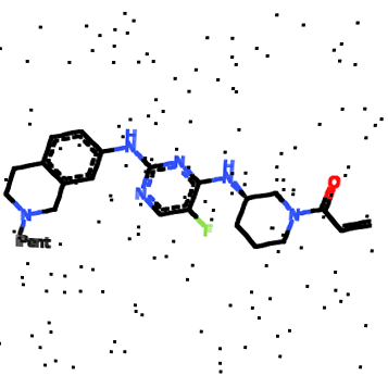 C=CC(=O)N1CCC[C@@H](Nc2nc(Nc3ccc4c(c3)CN(C(C)CCC)CC4)ncc2F)C1